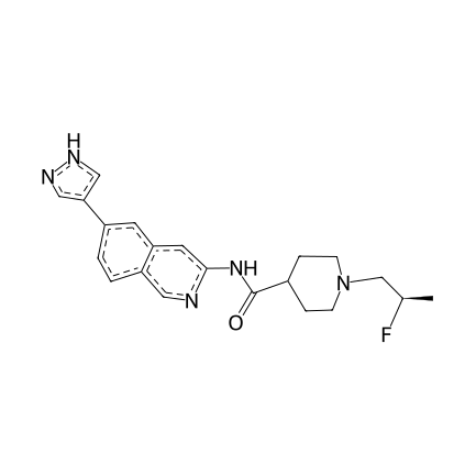 C[C@@H](F)CN1CCC(C(=O)Nc2cc3cc(-c4cn[nH]c4)ccc3cn2)CC1